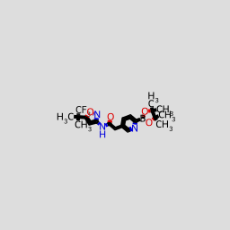 CC1(C)OB(c2ccc(CC(=O)Nc3cc(C(C)(C)C(F)(F)F)on3)cn2)OC1(C)C